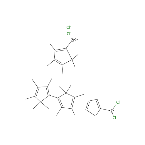 CC1=C(C)C(C)(C)C(C2=C(C)C(C)=C(C)C2(C)C)=C1C.CC1=C(C)C(C)(C)[C]([Zr+2])=C1C.[Cl-].[Cl-].[Cl][Zr]([Cl])[C]1=CC=CC1